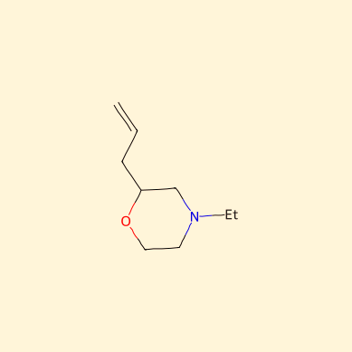 C=CCC1CN(CC)CCO1